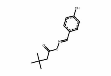 CC(C)(C)CC(=O)ON=Cc1ccc(O)cc1